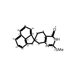 CSc1nc2c(c(=O)[nH]1)CCC1(C2)Cc2cccc3cccc1c23